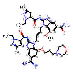 CCn1nc(C)cc1C(=O)/N=c1/[nH]c2cc(C(N)=O)cc(OC)c2n1C/C=C/Cn1/c(=N/C(=O)c2cc(C)nn2CC)[nH]c2cc(C(=N)N)cc(OCCCN3CCOCC3)c21